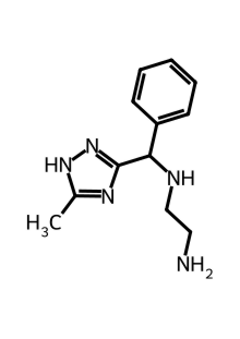 Cc1nc(C(NCCN)c2ccccc2)n[nH]1